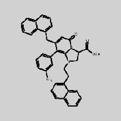 COC(=O)C1CN(CCc2cccc3ccccc23)c2c(-c3cccc(C(F)(F)F)c3)c(Cc3cccc4ccccc34)cc(=O)n21